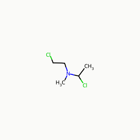 CC(Cl)N(C)CCCl